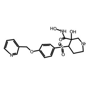 O=C(NO)C1(O)CNCCC1S(=O)(=O)c1ccc(OCc2cccnc2)cc1